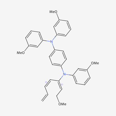 C=C/C=C\C(=C/COC)N(c1ccc(N(c2cccc(OC)c2)c2cccc(OC)c2)cc1)c1cccc(OC)c1